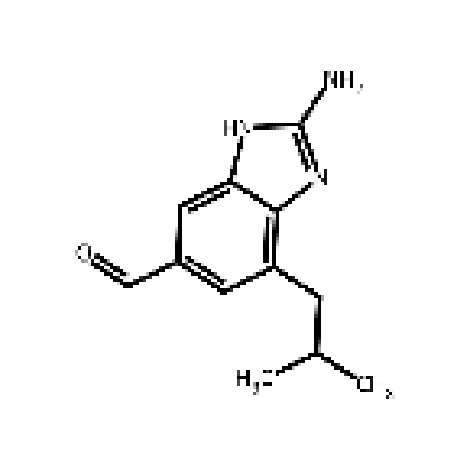 CC(C)Cc1cc(C=O)cc2[nH]c(N)nc12